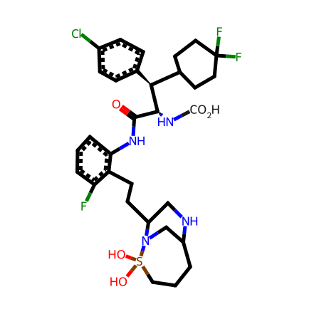 O=C(O)N[C@H](C(=O)Nc1cccc(F)c1CCC1CNC2CCCS(O)(O)N1C2)[C@@H](c1ccc(Cl)cc1)C1CCC(F)(F)CC1